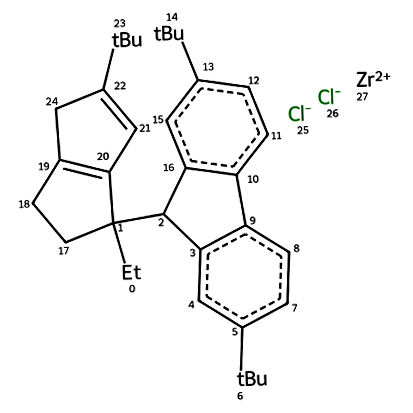 CCC1(C2c3cc(C(C)(C)C)ccc3-c3ccc(C(C)(C)C)cc32)CCC2=C1C=C(C(C)(C)C)C2.[Cl-].[Cl-].[Zr+2]